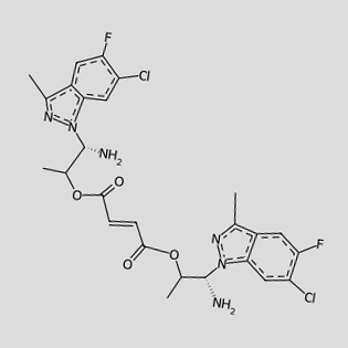 Cc1nn([C@H](N)C(C)OC(=O)/C=C/C(=O)OC(C)[C@@H](N)n2nc(C)c3cc(F)c(Cl)cc32)c2cc(Cl)c(F)cc12